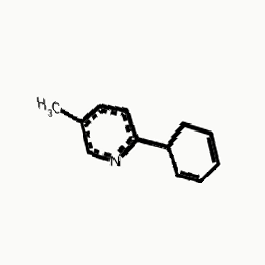 Cc1ccc(C2C=CC=CC2)nc1